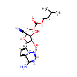 CC(C)CCOC(=O)OC[C@@]1(C#N)O[C@@H](c2ccc3c(N)ncnn23)[C@H](O)[C@@H]1O